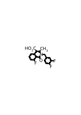 Cc1c(C(=O)O)c2cccc(F)c2c(=O)n1Cc1ccc(F)c(F)c1